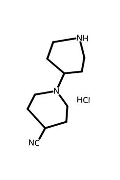 Cl.N#CC1CCN(C2CCNCC2)CC1